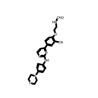 N#Cc1cc(-c2ccnc(Nc3ccc(N4CCOCC4)cc3)n2)ccc1OCCNC=O